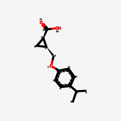 CC(C)c1ccc(OC[C@@H]2C[C@H]2C(=O)O)cc1